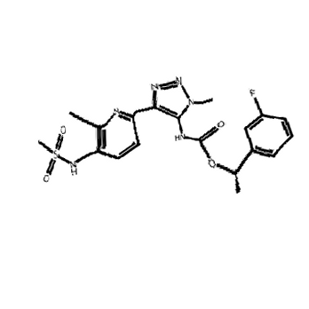 Cc1nc(-c2nnn(C)c2NC(=O)O[C@H](C)c2cccc(F)c2)ccc1NS(C)(=O)=O